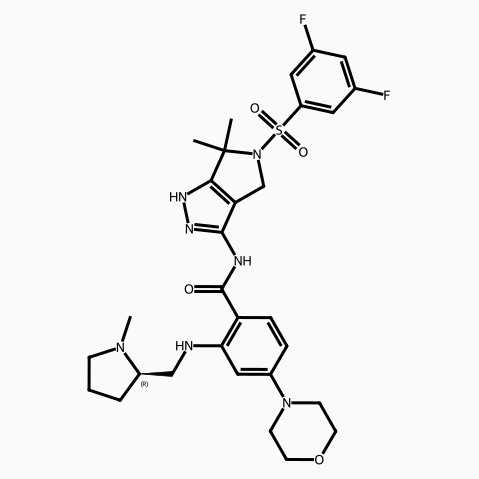 CN1CCC[C@@H]1CNc1cc(N2CCOCC2)ccc1C(=O)Nc1n[nH]c2c1CN(S(=O)(=O)c1cc(F)cc(F)c1)C2(C)C